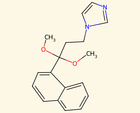 COC(CCn1ccnc1)(OC)c1cccc2ccccc12